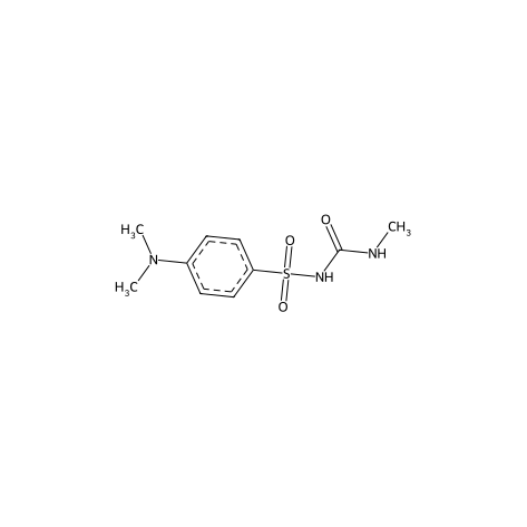 CNC(=O)NS(=O)(=O)c1ccc(N(C)C)cc1